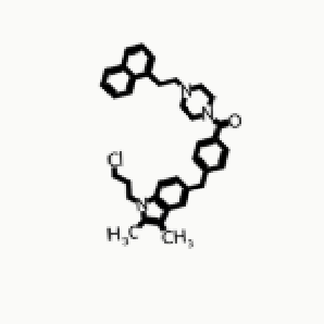 Cc1c(C)n(CCCCl)c2ccc(Cc3ccc(C(=O)N4CCN(CCc5cccc6ccccc56)CC4)cc3)cc12